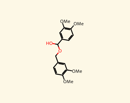 COc1ccc(COC(O)c2ccc(OC)c(OC)c2)cc1OC